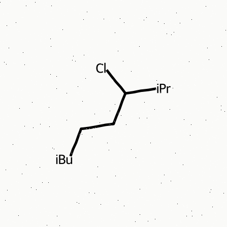 CCC(C)CCC(Cl)C(C)C